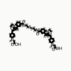 CN(CC(=O)O)c1ccc(/C=C/C23OCCN2c2ccc(C(=O)NCCSSCCNC(=O)c4ccc5c(c4)C(C)(C)C4(/C=C/c6ccc(N(C)CC(=O)O)cc6)OCCN54)cc2C3(C)C)cc1